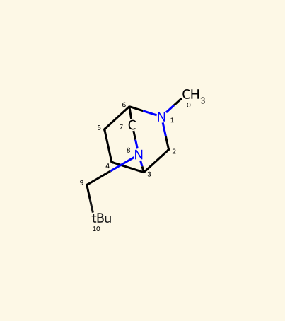 CN1CC2CCC1CN2CC(C)(C)C